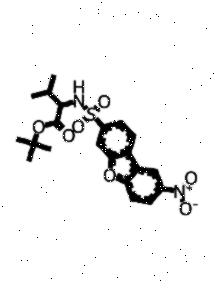 CC(C)C(NS(=O)(=O)c1ccc2c(c1)oc1ccc([N+](=O)[O-])cc12)C(=O)OC(C)(C)C